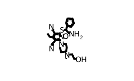 CCc1c(C#N)c(SC(C(N)=O)c2ccccc2)nc(N2CCC(N(C)CCO)CC2)c1C#N